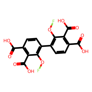 O=C(O)c1ccc(-c2ccc(C(=O)O)c(C(=O)O)c2OF)c(OF)c1C(=O)O